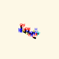 C#CCO/N=C(/C(=O)NC1C(=O)N2C(C(=O)O)=C(CSc3nnnn3CCC(=O)O)CS[C@H]12)c1csc(NC(=O)C(F)(F)F)n1